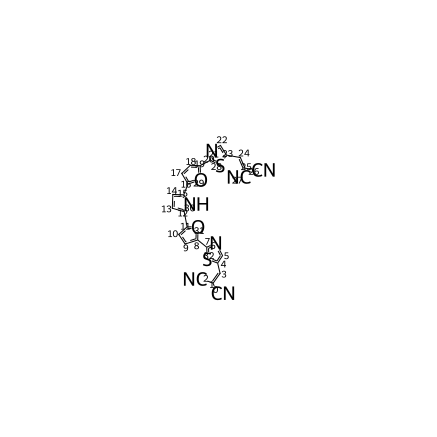 N#CC(C#N)=Cc1cnc(-c2ccc(-c3ccc(-c4ccc(-c5ncc(C=C(C#N)C#N)s5)o4)[nH]3)o2)s1